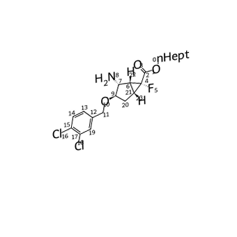 CCCCCCCOC(=O)[C@]1(F)[C@H]2[C@@H](N)[C@H](OCc3ccc(Cl)c(Cl)c3)C[C@H]21